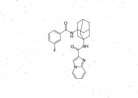 O=C(NC12CC3CC(C1)CC(NC(=O)c1cn4ccccc4n1)(C3)C2)c1cccc(F)c1